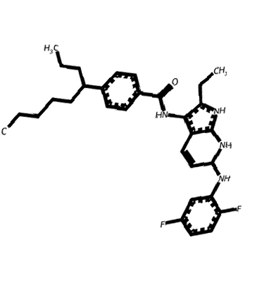 CCCCCC(CCC)c1ccc(C(=O)Nc2c(CC)[nH]c3c2C=CC(Nc2cc(F)ccc2F)N3)cc1